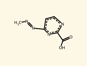 CN=Nc1ccnc(C(=O)O)n1